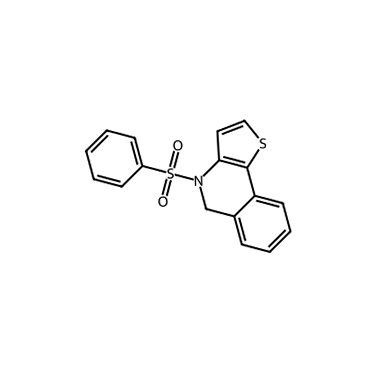 O=S(=O)(c1ccccc1)N1Cc2ccccc2-c2sccc21